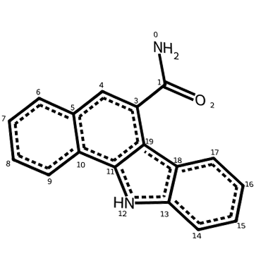 NC(=O)c1cc2ccccc2c2[nH]c3ccccc3c12